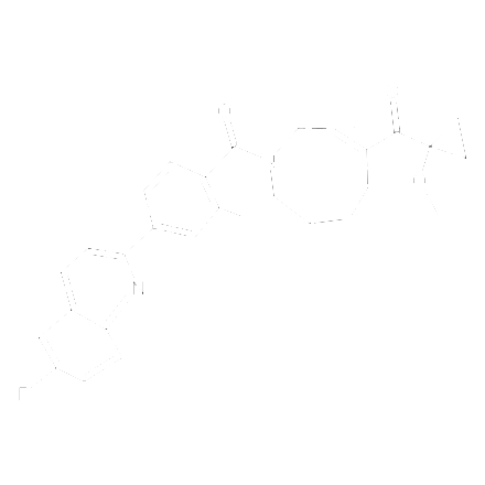 COC1(C(=O)/C2=C/CN(C(=O)c3ccc(-c4ccc5cc(F)ccc5n4)cc3F)CCCC2)CC1